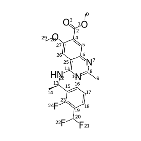 COC(=O)c1cc2nc(C)nc(N[C@H](C)c3cccc(C(F)F)c3F)c2cc1OC